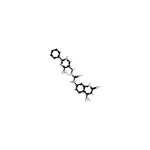 Cc1nc(-c2ccccc2)ncc1COC(=O)Nc1ccc2c(C)cc(=O)oc2c1